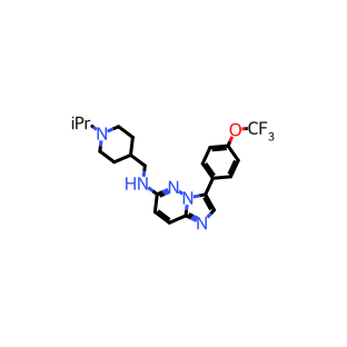 CC(C)N1CCC(CNc2ccc3ncc(-c4ccc(OC(F)(F)F)cc4)n3n2)CC1